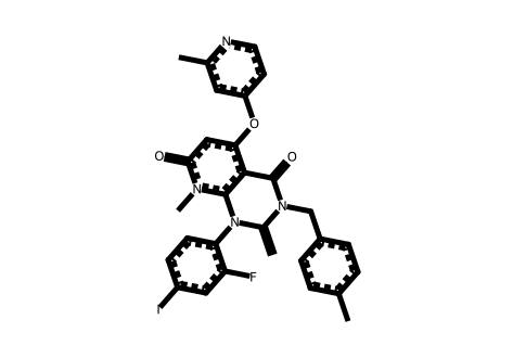 C=C1N(Cc2ccc(C)cc2)C(=O)c2c(Oc3ccnc(C)c3)cc(=O)n(C)c2N1c1ccc(I)cc1F